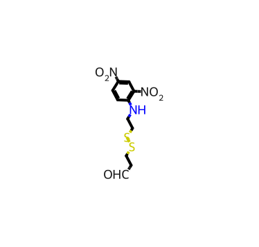 O=CCCSSCCNc1ccc([N+](=O)[O-])cc1[N+](=O)[O-]